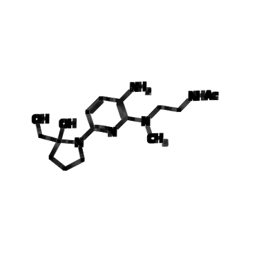 CC(=O)NCCN(C)c1nc(N2CCCC2(O)CO)ccc1N